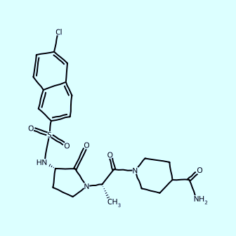 C[C@@H](C(=O)N1CCC(C(N)=O)CC1)N1CC[C@H](NS(=O)(=O)c2ccc3cc(Cl)ccc3c2)C1=O